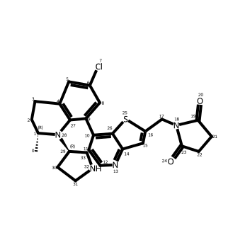 C[C@@H]1CCc2cc(Cl)cc(-c3ccnc4cc(CN5C(=O)CCC5=O)sc34)c2N1[C@@H]1CCNC1